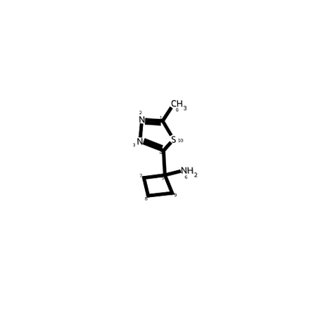 Cc1nnc(C2(N)CCC2)s1